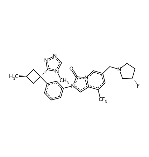 Cn1cnnc1[C@]1(c2cccc(-n3cc4c(C(F)(F)F)cc(CN5CC[C@H](F)C5)cn4c3=O)c2)C[C@@H](C)C1